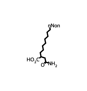 CCCCCCCCCCCCCCCCCC(CC(N)=O)C(=O)O